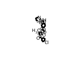 CC1=NN(C(=O)c2ccc(Cl)cc2)C(=O)C1S(=O)(=O)Oc1ccc(S(=O)(=O)Nc2ncccn2)cc1